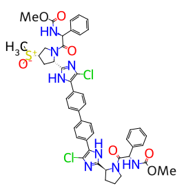 COC(=O)N[C@H](C(=O)N1CCC[C@H]1c1nc(Cl)c(-c2ccc(-c3ccc(-c4[nH]c([C@@H]5C[C@H]([S+](C)[O-])CN5C(=O)[C@@H](NC(=O)OC)c5ccccc5)nc4Cl)cc3)cc2)[nH]1)c1ccccc1